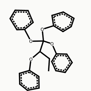 CCC(Oc1ccccc1)C(Oc1ccccc1)(Oc1ccccc1)Oc1ccccc1